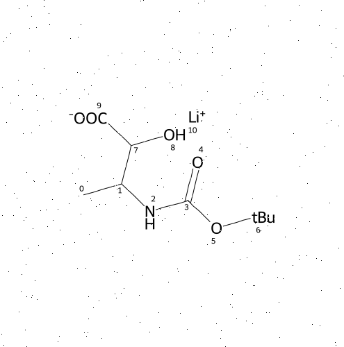 CC(NC(=O)OC(C)(C)C)C(O)C(=O)[O-].[Li+]